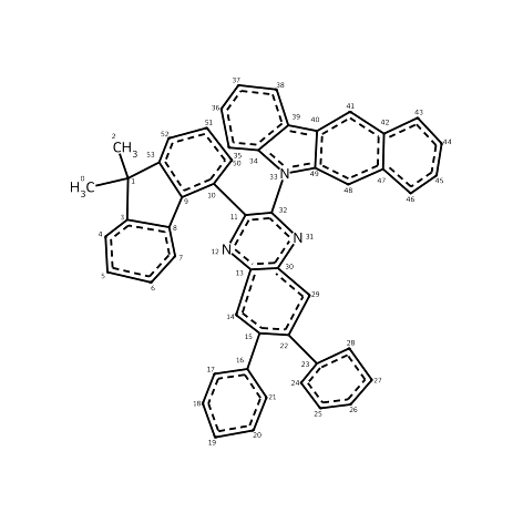 CC1(C)c2ccccc2-c2c(-c3nc4cc(-c5ccccc5)c(-c5ccccc5)cc4nc3-n3c4ccccc4c4cc5ccccc5cc43)cccc21